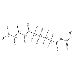 C=CC(=O)OC(F)C(F)(F)C(F)(F)C(F)(F)C(F)(F)C(F)C(F)C(F)C(F)C(F)F